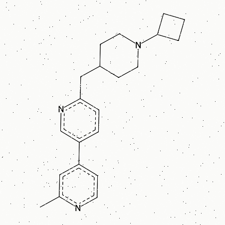 Cc1cc(-c2ccc(CC3CCN(C4CCC4)CC3)nc2)ccn1